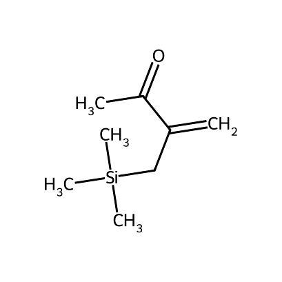 C=C(C[Si](C)(C)C)C(C)=O